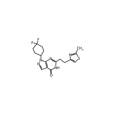 Cc1nc(CCc2nc3c(cnn3C3CCC(F)(F)CC3)c(=O)[nH]2)cs1